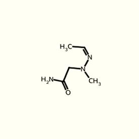 C/C=N\N(C)CC(N)=O